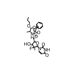 CCCOC(O)C(C)NP(=O)(OC[C@H]1O[C@@H](n2ccc(=O)[nH]c2=O)[C@](C)(F)[C@@H]1O)Oc1ccccc1